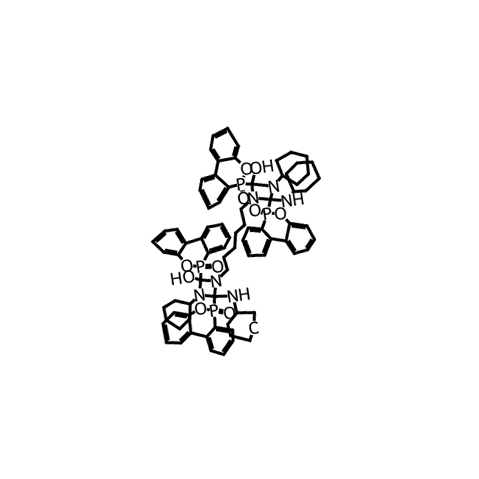 O=P1(C2(O)N(CCCCCCN3C(O)(P4(=O)Oc5ccccc5-c5ccccc54)N(C4CCCCC4)C3(NC3CCCCC3)P3(=O)Oc4ccccc4-c4ccccc43)C(NC3CCCCC3)(P3(=O)Oc4ccccc4-c4ccccc43)N2C2CCCCC2)Oc2ccccc2-c2ccccc21